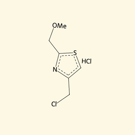 COCc1nc(CCl)cs1.Cl